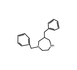 c1ccc(CC2CNCCN(Cc3ccccc3)C2)cc1